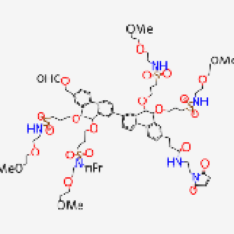 CCCN(CCOCCOC)S(=O)(=O)CCCOC1c2cc(-c3ccc4c(c3)C(OCCCS(=O)(=O)NCCOCCOC)C(OCCCS(=O)(=O)NCCOCCOC)c3cc(CCC(=O)NCCN5C(=O)C=CC5=O)ccc3-4)ccc2-c2ccc(COC=O)cc2C1OCCCS(=O)(=O)NCCOCCOC